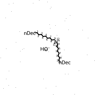 CCCCCCCCCCCCCCCCCCC[N+](C)(C)CCCCCCCCCCCCCCCCCC.[OH-]